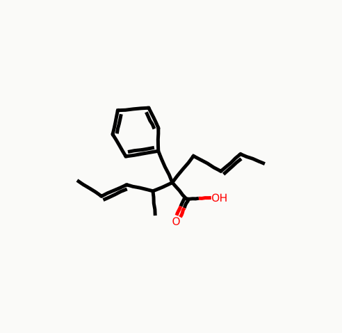 CC=CCC(C(=O)O)(c1ccccc1)C(C)C=CC